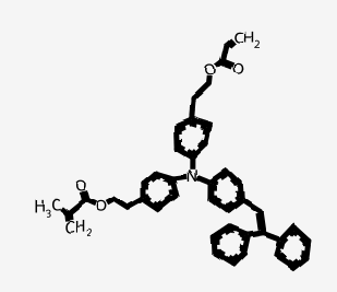 C=CC(=O)OCCc1ccc(N(c2ccc(C=C(c3ccccc3)c3ccccc3)cc2)c2ccc(CCOC(=O)C(=C)C)cc2)cc1